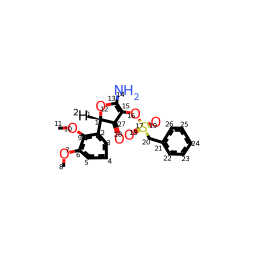 [2H][C@@]1(c2cccc(OC)c2OC)OC(N)=C(OS(=O)(=O)Cc2ccccc2)C1=O